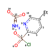 CCc1ccc(S(=O)(=O)Cl)nc1.N[SH](=O)=O